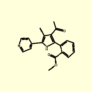 COC(=O)c1ccccc1-c1[nH]c(-c2ccncc2)c(C)c1C(C)=O